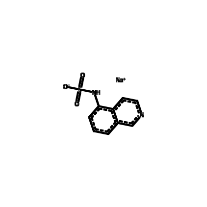 O=S(=O)([O-])Nc1cccc2cnccc12.[Na+]